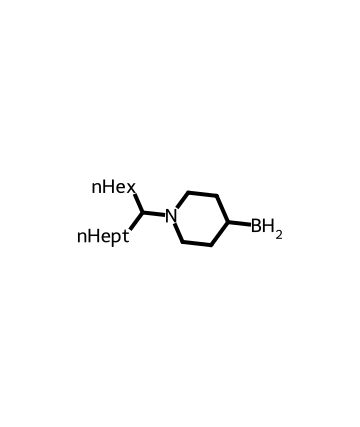 BC1CCN(C(CCCCCC)CCCCCCC)CC1